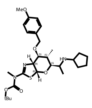 COc1ccc(CO[C@H]2[C@H](C)[C@@H](C(C)NC3CCCC3)O[C@@H]3SC(N(C)C(=O)OC(C)(C)C)=N[C@H]23)cc1